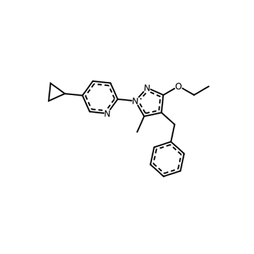 CCOc1nn(-c2ccc(C3CC3)cn2)c(C)c1Cc1ccccc1